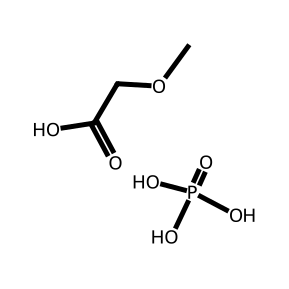 COCC(=O)O.O=P(O)(O)O